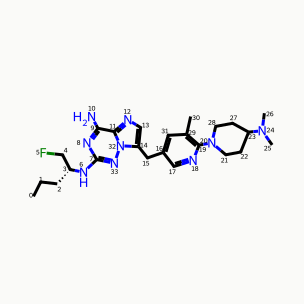 CCC[C@H](CF)Nc1nc(N)c2ncc(Cc3cnc(N4CCC(N(C)C)CC4)c(C)c3)n2n1